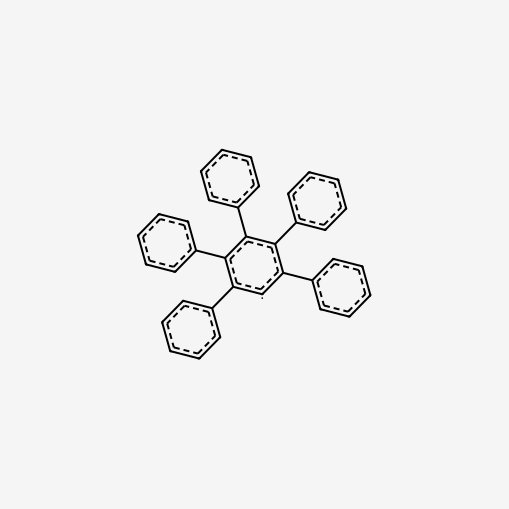 [c]1c(-c2ccccc2)c(-c2ccccc2)c(-c2ccccc2)c(-c2ccccc2)c1-c1ccccc1